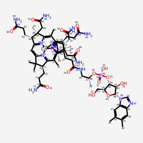 CC1=C2[N+]3=C(C=C4[N+]5=C(C(C)=C6[N+]7=C([C@H](CC(N)=O)[C@@]6(C)CCC(=O)NC[C@@H](C)O[P@@](=O)(O)O[C@@H]6[C@@H](O)[C@H](n8cnc9cc(C)c(C)cc98)O[C@H]6CO)[C@]6(C)[N+](=C1[C@@H](CCC(N)=O)[C@@]6(C)CC(N)=O)[Co]537[CH3])[C@@H](CCC(N)=O)C4(C)C)[C@H](CCC(N)=O)[C@@]2(C)CC(N)=O